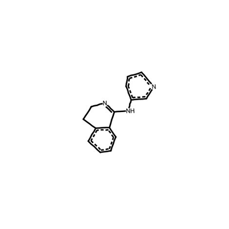 c1cncc(NC2=NCCc3ccccc32)c1